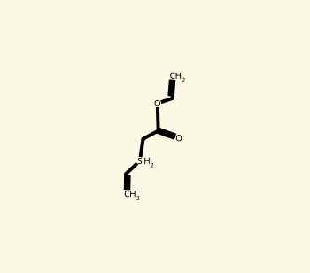 C=COC(=O)C[SiH2]C=C